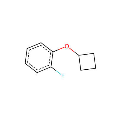 Fc1[c]cccc1OC1CCC1